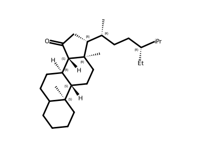 CC[C@H](CC[C@@H](C)[C@H]1CC(=O)[C@H]2[C@@H]3CCC4CCCC[C@]4(C)[C@H]3CC[C@]12C)C(C)C